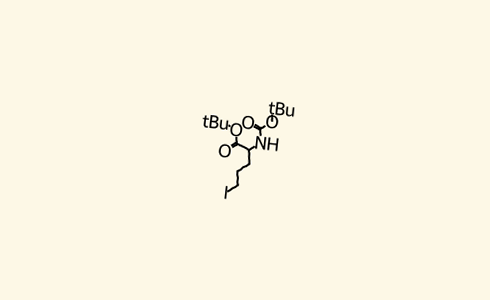 CC(C)(C)OC(=O)NC(CCCI)C(=O)OC(C)(C)C